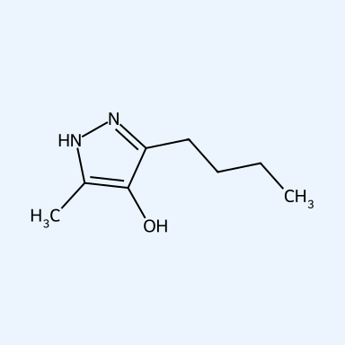 CCCCc1n[nH]c(C)c1O